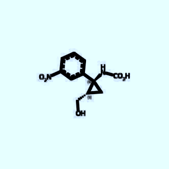 O=C(O)N[C@@]1(c2cccc([N+](=O)[O-])c2)C[C@@H]1CO